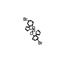 Brc1ccc([O][Zr]([O]c2ccc(Br)cc2)([CH]2C=CC=C2)[CH]2C=CC=C2)cc1